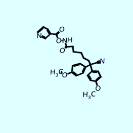 COc1ccc(C(C#N)(CCCCCC(=O)NOC(=O)c2cccnc2)c2ccc(OC)cc2)cc1